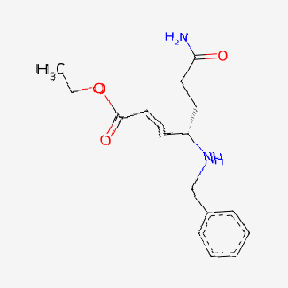 CCOC(=O)C=C[C@H](CCC(N)=O)NCc1ccccc1